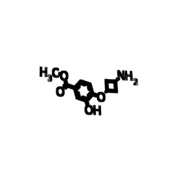 COC(=O)c1ccc(O[C@H]2C[C@H](N)C2)c(O)c1